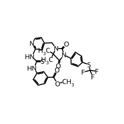 COC(=O)c1cccc(NC(=S)Nc2cc(CN3C(=O)N(c4ccc(SC(F)(F)F)cc4)C(=O)C3(C)C)ccn2)c1